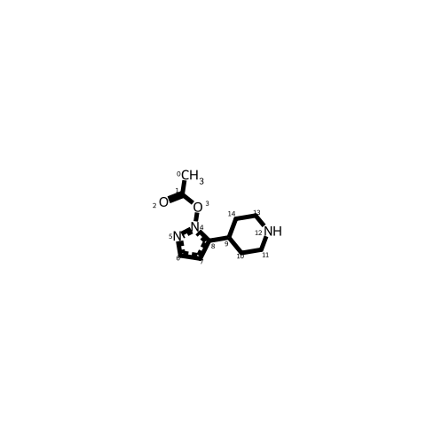 CC(=O)On1nccc1C1CCNCC1